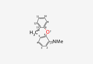 CNc1ccccc1Oc1ccccc1C